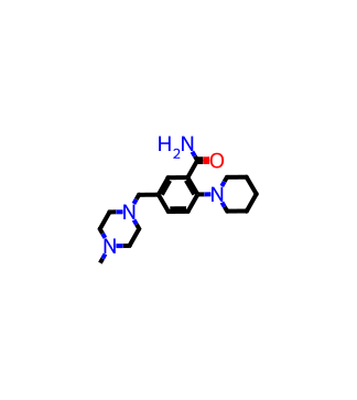 CN1CCN(Cc2ccc(N3CCCCC3)c(C(N)=O)c2)CC1